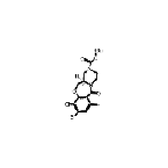 CC(C)(C)OC(=O)N1CCN2C(=O)c3c(F)cc(Br)c(Cl)c3OC[C@H]2C1